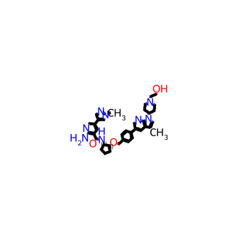 Cc1cn(C2CCN(CCO)CC2)c2ncc(-c3ccc(CO[C@H]4CCC[C@@H]4NC(=O)c4cc(-c5cnn(C)c5)cnc4N)cc3)cc12